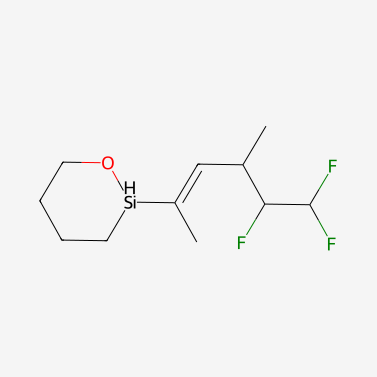 CC(=CC(C)C(F)C(F)F)[SiH]1CCCCO1